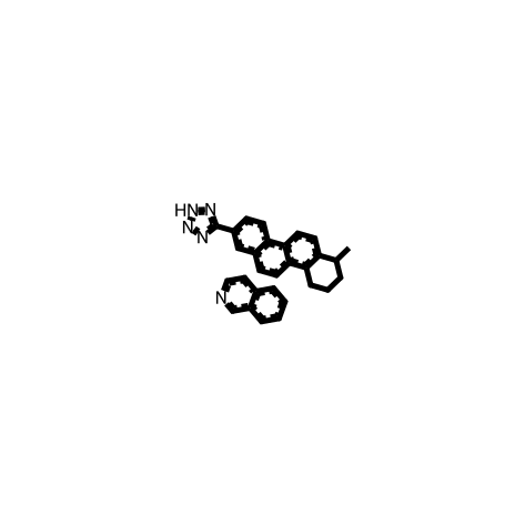 CC1CCCc2c1ccc1c2ccc2cc(-c3nn[nH]n3)ccc21.c1ccc2cnccc2c1